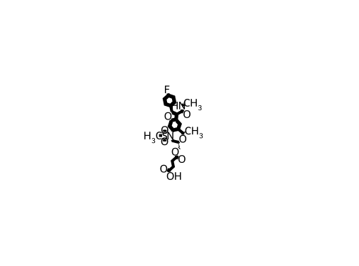 CNC(=O)c1c(-c2ccc(F)cc2)oc2cc3c(cc12)[C@H](C)O[C@H](COC(=O)CCC(=O)O)CN3S(C)(=O)=O